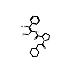 NS/C(NC(=O)C1CCCN1C(=O)CC1CCCCC1)=C(\N)c1ccccc1